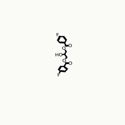 O=C(OCC(O)COC(=O)c1ccc(F)cc1)c1ccc(F)cc1